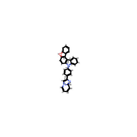 c1ccc2c(c1)oc1ccc3c(c4ccccc4n3-c3ccc(-c4cn5ccccc5n4)cc3)c12